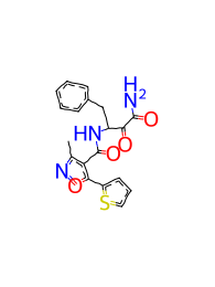 Cc1noc(-c2cccs2)c1C(=O)NC(Cc1ccccc1)C(=O)C(N)=O